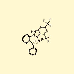 NC1=C2C(C(F)(F)F)=NC(C(F)(F)F)=NC2NN1c1ccccc1Oc1ccccc1